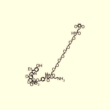 B[C@@]1(OC(=O)OCc2ccc(NC(=O)[C@H](CCCCN)NC(=O)CCOCCOCCOCCOCCOCCOCCOCCOCCNC(=O)CCN3C(=O)C=CC3=O)cc2)C(=O)OCc2c1cc1n(c2=O)Cc2c-1nc1ccc(O)cc1c2CC